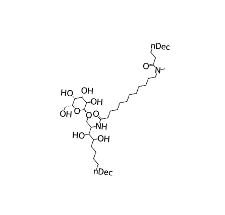 CCCCCCCCCCCCCCC(O)C(O)C(CO[C@H]1O[C@H](CO)[C@H](O)[C@H](O)[C@H]1O)NC(=O)CCCCCCCCCCCN(C)C(=O)CCCCCCCCCCCC